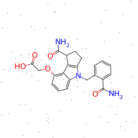 NC(=O)c1ccccc1Cn1c2c(c3c(OCC(=O)O)cccc31)C(C(N)=O)CC2